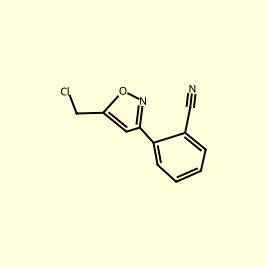 N#Cc1ccccc1-c1cc(CCl)on1